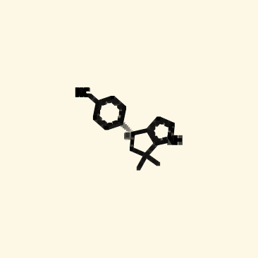 CC1(C)C[C@H](c2ccc(C#N)cc2)c2cc[nH]c21